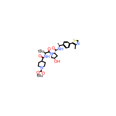 Cc1ncsc1-c1ccc([C@H](C)NC(=O)[C@@H]2C[C@@H](O)CN2C(=O)C(NC(=O)C2CCN(C(=O)OC(C)(C)C)CC2)C(C)(C)C)cc1